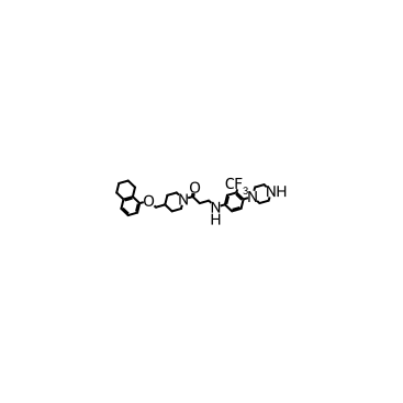 O=C(CCNc1ccc(N2CCNCC2)c(C(F)(F)F)c1)N1CCC(COc2cccc3c2CCCC3)CC1